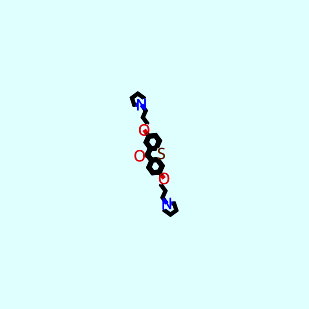 O=c1c2ccc(OCCCN3CCCC3)cc2sc2ccc(OCCCN3CCCC3)cc12